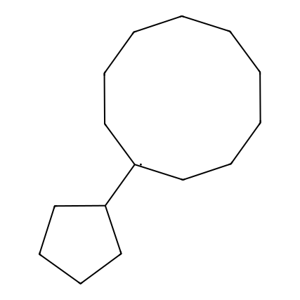 C1CCCC[C](C2CCCC2)CCCC1